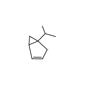 CC(C)C12[CH]C=CC1C2